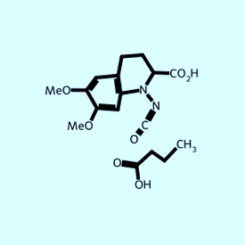 CCCC(=O)O.COc1cc2c(cc1OC)N(N=C=O)C(C(=O)O)CC2